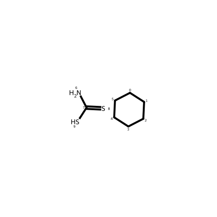 C1CCCCC1.NC(=S)S